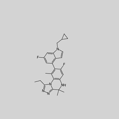 CCc1nnc2n1-c1c(cc(F)c(-c3cc(F)cc4c3ccn4CC3CC3)c1C)NC2(C)C